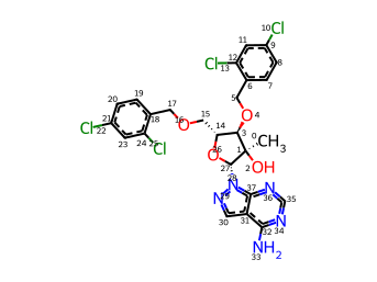 C[C@@]1(O)[C@H](OCc2ccc(Cl)cc2Cl)[C@@H](COCc2ccc(Cl)cc2Cl)O[C@H]1n1ncc2c(N)ncnc21